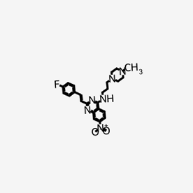 CN1CCN(CCCNc2nc(C=Cc3ccc(F)cc3)nc3cc([N+](=O)[O-])ccc23)CC1